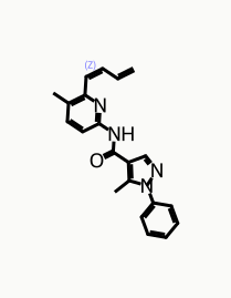 C=C/C=C\c1nc(NC(=O)c2cnn(-c3ccccc3)c2C)ccc1C